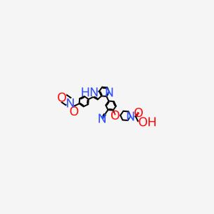 N#Cc1cc(-c2nccc3[nH]c(-c4ccc(C(=O)N5CCOCC5)cc4)cc23)ccc1OC1CCN(C(=O)CO)CC1